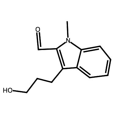 Cn1c(C=O)c(CCCO)c2ccccc21